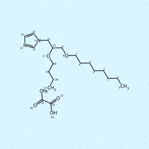 CCCCCCCCOCC(Cn1ccnc1)OCCCC.O=C(O)C(=O)O